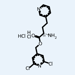 Cl.Cl.N[C@@H](CCc1cccnc1)C(=O)OCc1cc(Cl)nc(Cl)c1